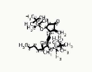 C=C1C(=O)C[C@@H](O[Si](C)(C)C(C)(C)C)[C@@H]1C#CC(O[Si](C)(C)C(C)(C)C)C(C)(C)CCCC